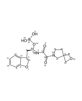 O=C(N[C@@H](Cc1coc2ccccc12)OB(O)O)C(=O)N1CCC2(COC2)C1